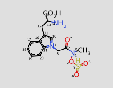 CN(O[SH](=O)=O)C(=O)Cn1cc(C[C@H](N)C(=O)O)c2ccccc21